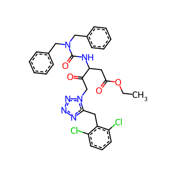 CCOC(=O)CC(NC(=O)N(Cc1ccccc1)Cc1ccccc1)C(=O)Cn1nnnc1Cc1c(Cl)cccc1Cl